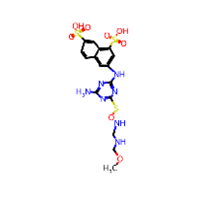 COCNCNOSc1nc(N)nc(Nc2cc(S(=O)(=O)O)c3cc(S(=O)(=O)O)ccc3c2)n1